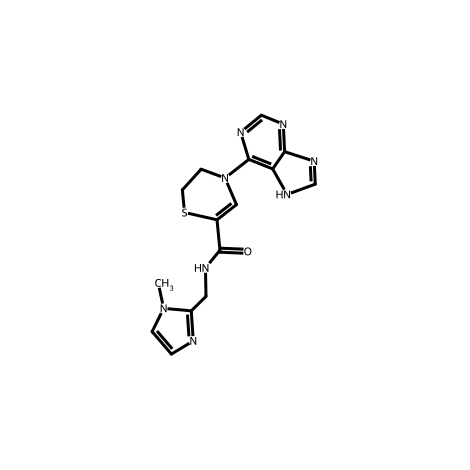 Cn1ccnc1CNC(=O)C1=CN(c2ncnc3nc[nH]c23)CCS1